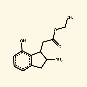 CCOC(=O)CC1c2c(O)cccc2CC1N